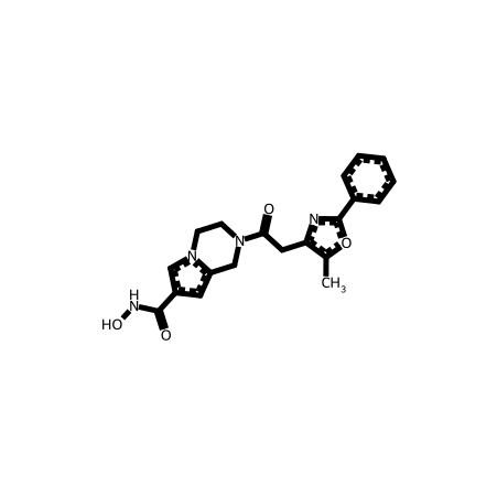 Cc1oc(-c2ccccc2)nc1CC(=O)N1CCn2cc(C(=O)NO)cc2C1